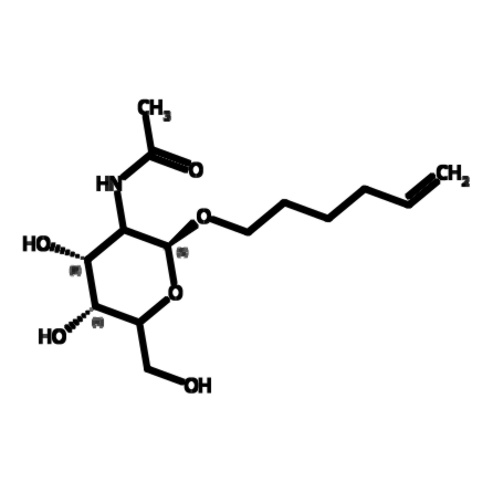 C=CCCCCO[C@H]1OC(CO)[C@H](O)[C@H](O)C1NC(C)=O